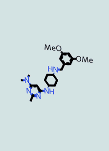 COc1cc(CN[C@H]2CC[C@@H](Nc3cc(N(C)C)nc(C)n3)CC2)cc(OC)c1